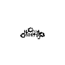 O=C(N[C@@H]1CCC[C@H](c2nc3ccccc3[nH]2)C1)[C@@H]1COc2ccccc2O1